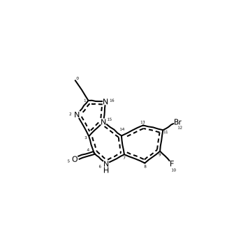 Cc1nc2c(=O)[nH]c3cc(F)c(Br)cc3n2n1